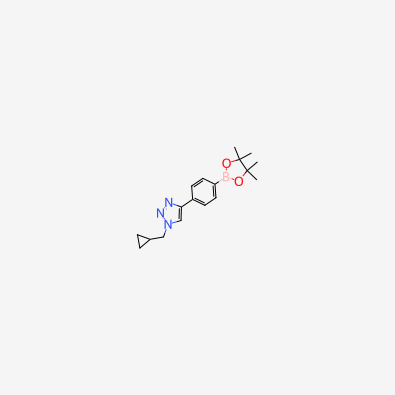 CC1(C)OB(c2ccc(-c3cn(CC4CC4)nn3)cc2)OC1(C)C